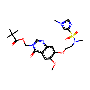 COc1cc2c(=O)n(COC(=O)C(C)(C)C)cnc2cc1OCCN(C)S(=O)(=O)c1cn(C)cn1